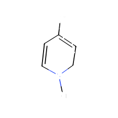 CN1C=CC(C(F)(F)F)=CC1